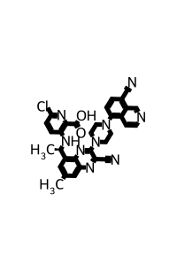 Cc1cc([C@@H](C)Nc2ccc(Cl)nc2C(=O)O)c2nc(N3CCN(c4ccc(C#N)c5cnccc45)CC3)c(C#N)nc2c1